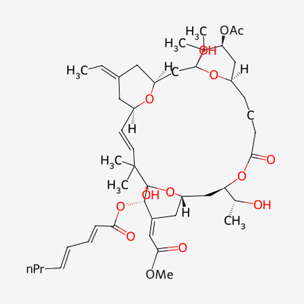 C/C=C1/C[C@H]2C[C@]3(O)O[C@H](CCCC(=O)O[C@@H]([C@@H](C)O)C[C@@H]4C/C(=C\C(=O)OC)[C@H](OC(=O)/C=C/C=C/CCC)[C@@](O)(O4)C(C)(C)/C=C/[C@@H](C1)O2)C[C@H](OC(C)=O)C3(C)C